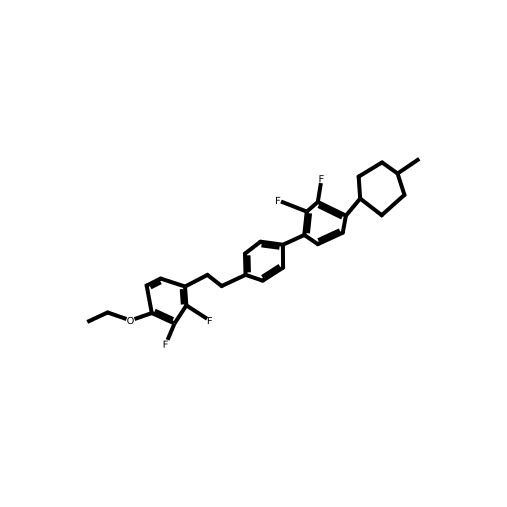 CCOc1ccc(CCc2ccc(-c3ccc(C4CCC(C)CC4)c(F)c3F)cc2)c(F)c1F